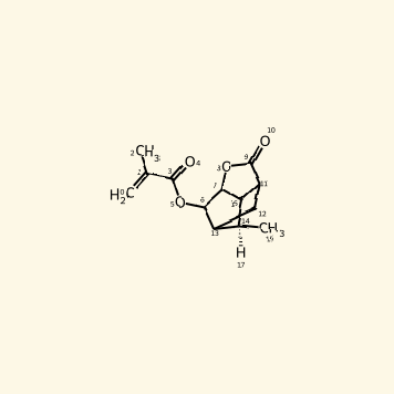 C=C(C)C(=O)OC1C2OC(=O)C3CC1[C@H](C)C32